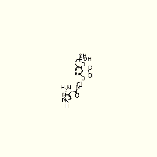 NC(C(=O)N1CC(Oc2ccc3c(c2C(=O)O)O[B-](O)(O)CC3)C1)c1c[nH]nn1